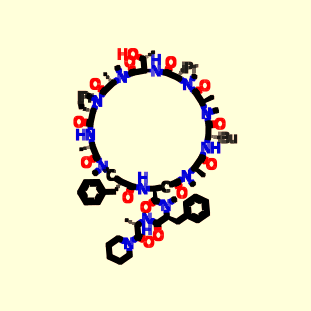 CCC(C)[C@@H]1NC(=O)[C@@H](C)N(C)C(=O)C[C@@H](C(=O)N(C)[C@@H](Cc2ccccc2)C(=O)N[C@@H](C)C(=O)N2CCCCC2)NC(=O)[C@H](Cc2ccccc2)CN(C)C(=O)[C@H](C)NC(=O)[C@H](CC(C)C)N(C)C(=O)[C@H](C)N(C)C(=O)[C@H]([C@@H](C)O)NC(=O)[C@H](C(C)C)N(C)C(=O)[C@@H](C)N(C)C1=O